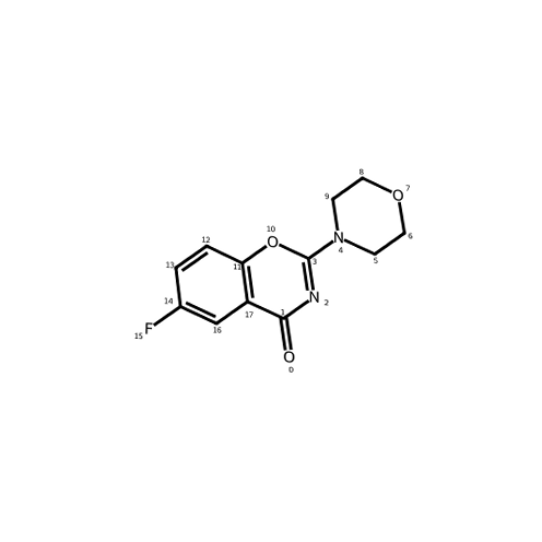 O=c1nc(N2CCOCC2)oc2ccc(F)cc12